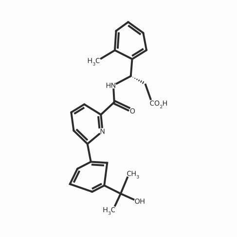 Cc1ccccc1[C@H](CC(=O)O)NC(=O)c1cccc(-c2cccc(C(C)(C)O)c2)n1